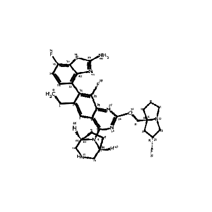 CCc1cc2c(N3[C@@H]4CC[C@H]3CNC4)nc(OC[C@@]34CCCN3C[C@H](F)C4)nc2c(F)c1-c1ccc(F)c2sc(N)nc12